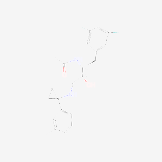 CC(=O)N[C@@H](Cc1cc(F)cc(F)c1)[C@@H](O)CNC1(c2cccc(Br)c2)CC1